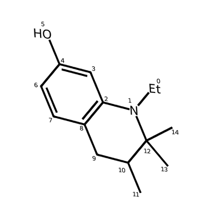 CCN1c2cc(O)ccc2CC(C)C1(C)C